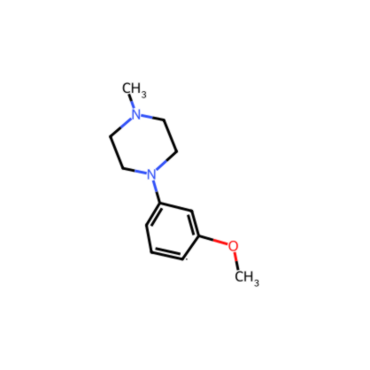 COc1[c]ccc(N2CCN(C)CC2)c1